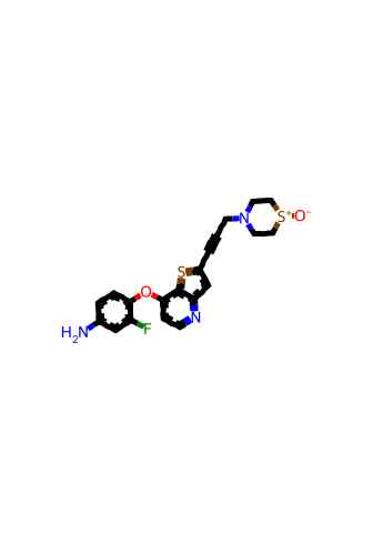 Nc1ccc(Oc2ccnc3cc(C#CCN4CC[S+]([O-])CC4)sc23)c(F)c1